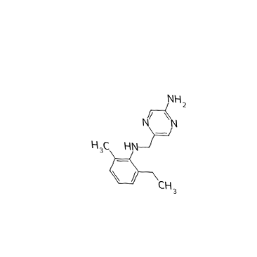 CCc1cccc(C)c1NCc1cnc(N)cn1